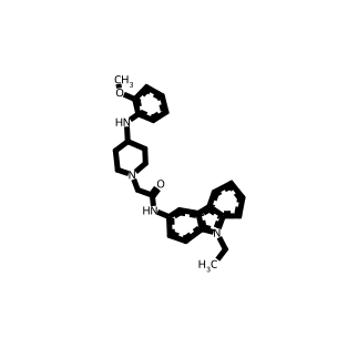 CCn1c2ccccc2c2cc(NC(=O)CN3CCC(Nc4ccccc4OC)CC3)ccc21